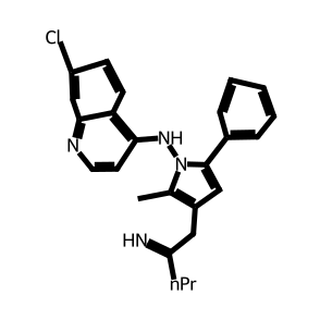 CCCC(=N)Cc1cc(-c2ccccc2)n(Nc2ccnc3cc(Cl)ccc23)c1C